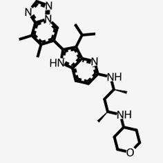 Cc1c(-c2[nH]c3ccc(N[C@@H](C)C[C@H](C)NC4CCOCC4)nc3c2C(C)C)cn2ncnc2c1C